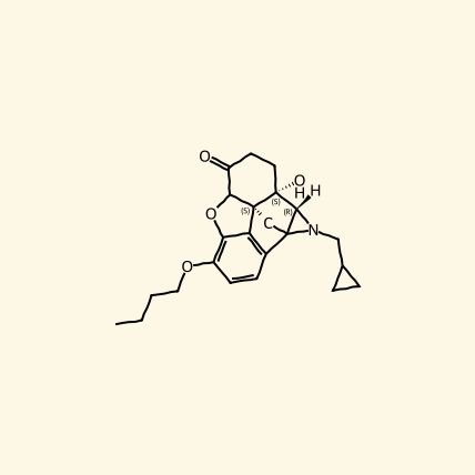 CCCCOc1ccc2c3c1OC1C(=O)CC[C@@]4(O)[C@@H]5N(CC6CC6)C25C[C@]314